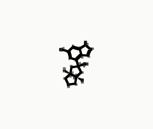 O[C@@]1(c2cc(Cl)cc3[nH]ncc23)C[C@H]2COC[C@H]2C1